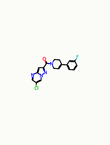 O=C(c1cc2ncc(Cl)cn2n1)N1CC=C(c2cccc(F)c2)CC1